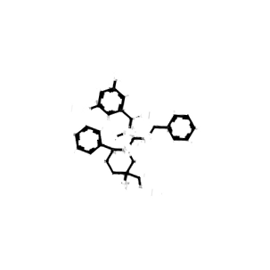 C[C@@H](OC[C@@]1(c2ccccc2)CCC(N)(CC=O)CN1C(=O)OCc1ccccc1)c1cc(C(F)(F)F)cc(C(F)(F)F)c1